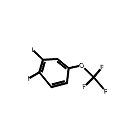 FC(F)(F)Oc1ccc(I)c(I)c1